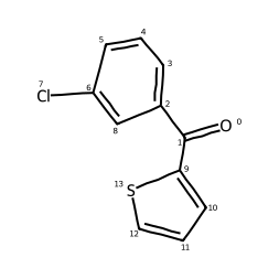 O=C(c1cccc(Cl)c1)c1cccs1